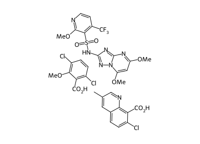 COc1c(Cl)ccc(Cl)c1C(=O)O.COc1cc(OC)n2nc(NS(=O)(=O)c3c(C(F)(F)F)ccnc3OC)nc2n1.Cc1cnc2c(C(=O)O)c(Cl)ccc2c1